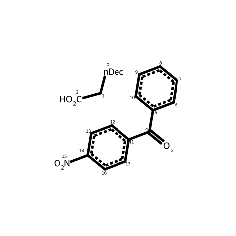 CCCCCCCCCCCC(=O)O.O=C(c1ccccc1)c1ccc([N+](=O)[O-])cc1